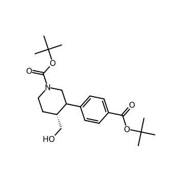 CC(C)(C)OC(=O)c1ccc(C2CN(C(=O)OC(C)(C)C)CC[C@H]2CO)cc1